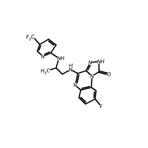 CC(CNc1nc2ccc(F)cc2n2c(=O)[nH]nc12)Nc1ccc(C(F)(F)F)cn1